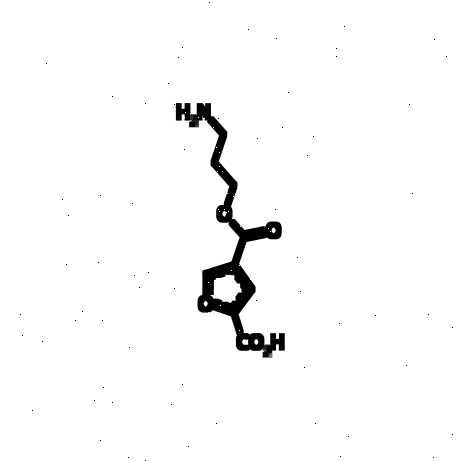 NCCCOC(=O)c1coc(C(=O)O)c1